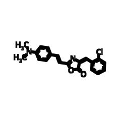 CN(C)c1ccc(C=CC2=NC(=Cc3ccccc3Cl)C(=O)O2)cc1